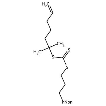 C=CCCCC(C)(C)SC(=S)SCCCCCCCCCCCC